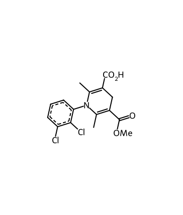 COC(=O)C1=C(C)N(c2cccc(Cl)c2Cl)C(C)=C(C(=O)O)C1